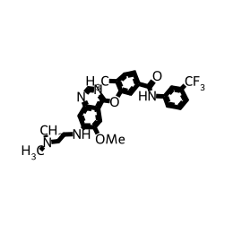 COc1cc2c(Oc3cc(C(=O)Nc4cccc(C(F)(F)F)c4)ccc3C)ncnc2cc1NCCN(C)C